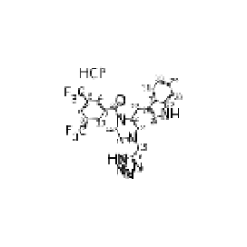 Cl.O=C(c1cc(C(F)(F)F)cc(C(F)(F)F)c1)N1CCN(Cc2nnn[nH]2)CC1Cc1c[nH]c2ccccc12